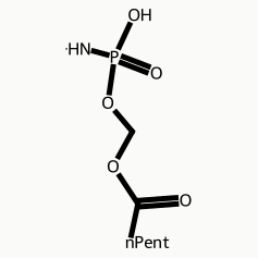 CCCCCC(=O)OCOP([NH])(=O)O